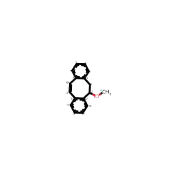 COC1Cc2ccccc2/C=C\c2ccccc21